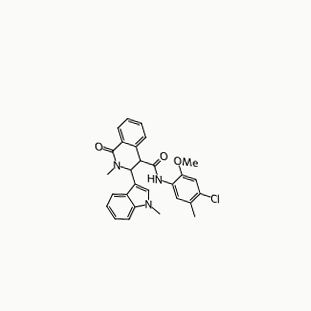 COc1cc(Cl)c(C)cc1NC(=O)C1c2ccccc2C(=O)N(C)C1c1cn(C)c2ccccc12